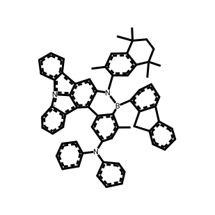 Cc1cc2c(cc1N1B(c3cccc4c3Cc3ccccc3-4)c3c(C)cc(N(c4ccccc4)c4ccccc4)cc3-c3c1cc1c4ccccc4n4c5ccccc5c3c14)C(C)(C)CCC2(C)C